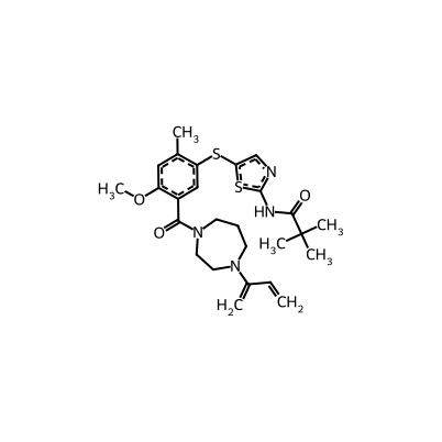 C=CC(=C)N1CCCN(C(=O)c2cc(Sc3cnc(NC(=O)C(C)(C)C)s3)c(C)cc2OC)CC1